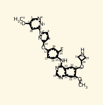 COc1cnnc(-n2ccc(Oc3ccc(Nc4ncnc5cc(OC)c(OC6CNC6)cc45)c(F)c3)n2)c1